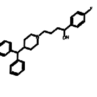 OC(CCCN1CCC(C(c2ccccc2)c2ccccc2)CC1)c1ccc(F)cc1